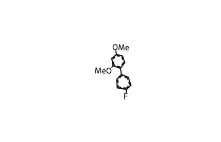 COc1ccc(-c2ccc(F)cc2)c(OC)c1